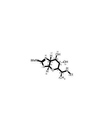 CCN[C@@H](C)C1O[C@@H]2SC(NC)=N[C@@H]2[C@@H](O)[C@@H]1O